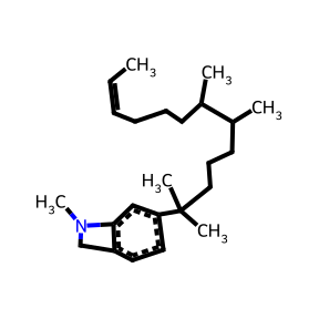 C/C=C\CCCC(C)C(C)CCCC(C)(C)c1ccc2c(c1)N(C)C2